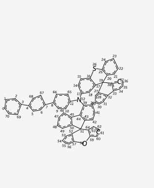 c1ccc(-c2ccc(-c3ccc(N(c4ccc5c(c4)C4(c6ccccc6S5)c5ccccc5-c5ccccc54)c4cccc5c4-c4ccccc4C54c5ccccc5Oc5ccccc54)cc3)cc2)cc1